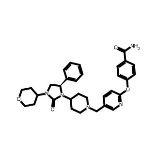 NC(=O)c1ccc(Oc2ccc(CN3CCC(N4C(=O)N(C5CCOCC5)C[C@H]4c4ccccc4)CC3)cn2)cc1